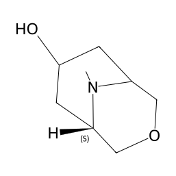 CN1C2COC[C@@H]1CC(O)C2